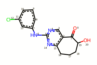 O=C1c2cnc(Nc3cccc(Cl)c3)nc2CCCC1O